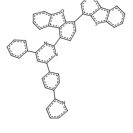 c1ccc(-c2cc(-c3ccc(-c4ccccn4)cc3)nc(-c3ccc(-c4cccc5c4sc4ccccc45)c4oc5ccccc5c34)n2)cc1